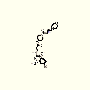 O=C(CCNc1n[n+](O)c2cc(Br)ccc2[n+]1[O-])OC1CCN(C(=O)/C=C/CN2CCOCC2)CC1